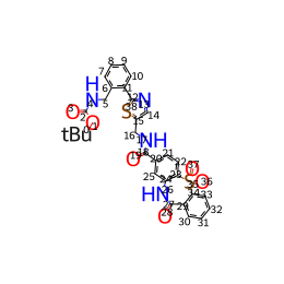 CC(C)(C)OC(=O)NCc1ccccc1-c1ncc(CNC(=O)c2ccc3c(c2)NC(=O)c2ccccc2S3(=O)=O)s1